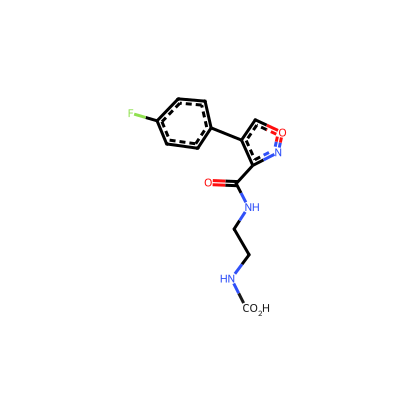 O=C(O)NCCNC(=O)c1nocc1-c1ccc(F)cc1